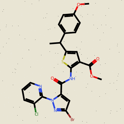 COC(=O)c1cc(C(C)c2ccc(OC)cc2)sc1NC(=O)c1cc(Br)nn1-c1ncccc1Cl